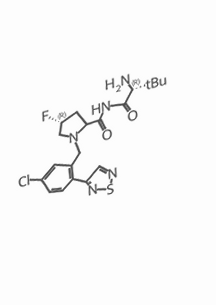 CC(C)(C)[C@@H](N)C(=O)NC(=O)C1C[C@@H](F)CN1Cc1cc(Cl)ccc1-c1cnsn1